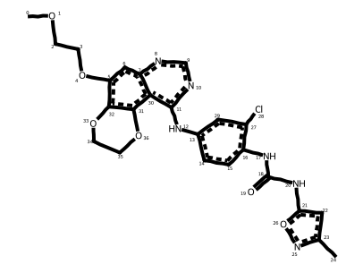 COCCOc1cc2ncnc(Nc3ccc(NC(=O)Nc4cc(C)no4)c(Cl)c3)c2c2c1OCCO2